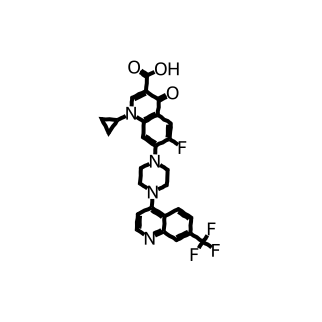 O=C(O)c1cn(C2CC2)c2cc(N3CCN(c4ccnc5cc(C(F)(F)F)ccc45)CC3)c(F)cc2c1=O